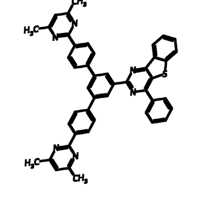 Cc1cc(C)nc(-c2ccc(-c3cc(-c4ccc(-c5nc(C)cc(C)n5)cc4)cc(-c4nc(-c5ccccc5)c5sc6ccccc6c5n4)c3)cc2)n1